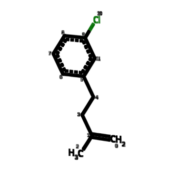 C=C(C)CCc1cccc(Cl)c1